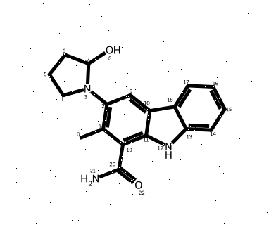 Cc1c(N2CCCC2O)cc2c([nH]c3ccccc32)c1C(N)=O